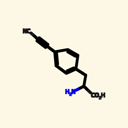 N#CC#Cc1ccc(CC(N)C(=O)O)cc1